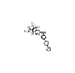 CCn1c(N)c(C(N)=O)c(=O)c2cnc(Nc3ccc(N4CCC(N5CCCC5)CC4)cc3)nc21